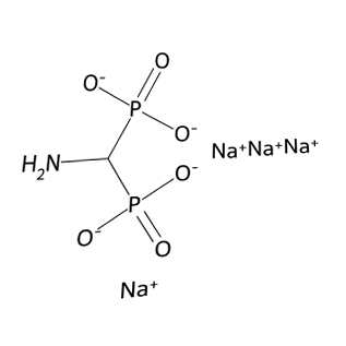 NC(P(=O)([O-])[O-])P(=O)([O-])[O-].[Na+].[Na+].[Na+].[Na+]